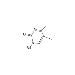 Cc1cn(C(C)(C)C)c(=O)nc1C